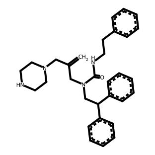 C=C(CN1CCNCC1)CN(CC(c1ccccc1)c1ccccc1)C(=O)NCCc1ccccc1